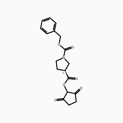 O=C1CCC(=O)C1OC(=O)[C@H]1CCN(C(=O)OCc2ccccc2)C1